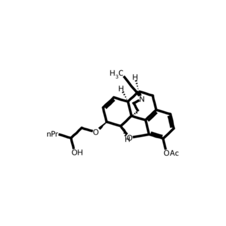 CCCC(O)CO[C@H]1C=C[C@H]2[C@H]3Cc4ccc(OC(C)=O)c5c4[C@@]2(CCN3C)[C@H]1O5